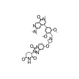 COc1cc(-c2cn(C)c(=O)c3cnc(N(C)C)cc23)cc(OC)c1CN1CC(Oc2ccn3c(=O)n(C4CCC(=O)NC4=O)nc3c2)C1